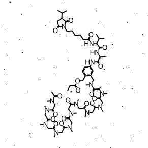 CCC(=O)OCc1ccc(NC(=O)[C@H](C)NC(=O)[C@@H](NC(=O)CCCCCN2C(=O)CC(C(C)C)C2=O)C(C)C)cc1CN(C)C(=O)CN(C)C(=O)CN(C)C(=O)CN(C)C(=O)CN(C)C(=O)CN(C)C(=O)CN(C)C(=O)CN(C)C(=O)CN(C)C(=O)CN(C)C(=O)CN(C)C(C)=O